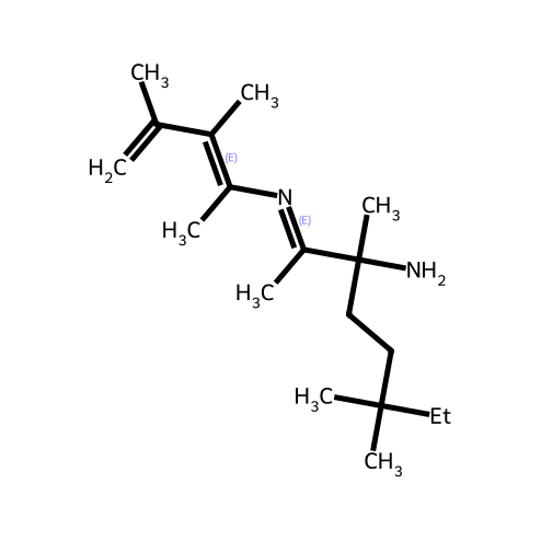 C=C(C)/C(C)=C(C)/N=C(\C)C(C)(N)CCC(C)(C)CC